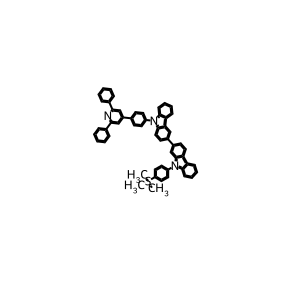 CS(C)(C)c1ccc(-n2c3ccccc3c3ccc(-c4ccc5c(c4)c4ccccc4n5-c4ccc(-c5cc(-c6ccccc6)nc(-c6ccccc6)c5)cc4)cc32)cc1